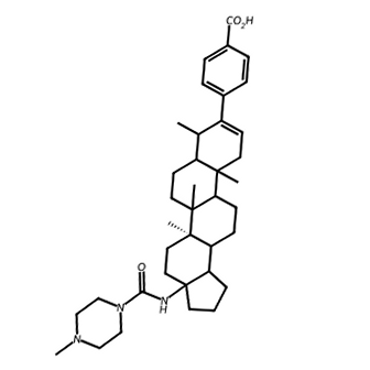 CC1C(c2ccc(C(=O)O)cc2)=CCC2(C)C1CCC1(C)C2CCC2C3CCCC3(NC(=O)N3CCN(C)CC3)CC[C@]21C